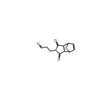 O=CCCN1C(=O)C2C3C=CC(O3)C2C1=O